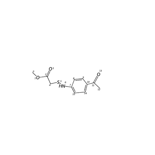 COC(=O)CSNc1ccc(C(C)=O)cc1